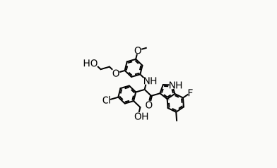 COc1cc(NC(C(=O)c2c[nH]c3c(F)cc(C)cc23)c2ccc(Cl)cc2CO)cc(OCCO)c1